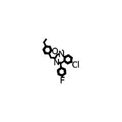 CCc1ccc(CC2N=C(c3ccc(F)cc3)c3cc(Cl)ccc3N(C)C2=O)cc1